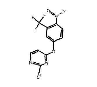 O=[N+]([O-])c1ccc(Oc2ccnc(Cl)n2)cc1C(F)(F)F